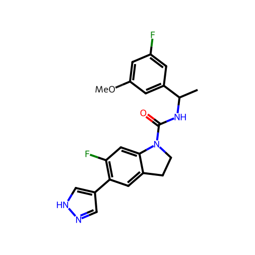 COc1cc(F)cc(C(C)NC(=O)N2CCc3cc(-c4cn[nH]c4)c(F)cc32)c1